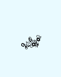 O=C(NCCOc1cc2ncnc(Nc3ccc(F)c(Cl)c3)c2cc1OC1CCOCC1)N1CCCCC1